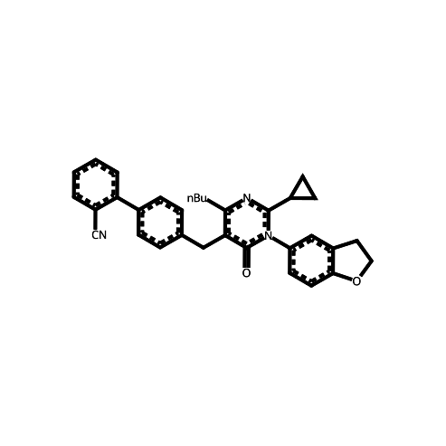 CCCCc1nc(C2CC2)n(-c2ccc3c(c2)CCO3)c(=O)c1Cc1ccc(-c2ccccc2C#N)cc1